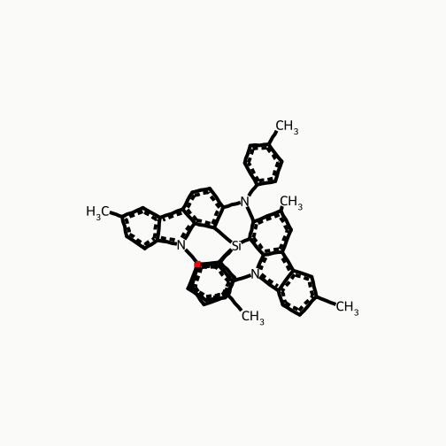 Cc1ccc(N2c3ccc4c5cc(C)ccc5n5c4c3[Si]3(c4ccccc4)c4c-5ccc(C)c4-n4c5ccc(C)cc5c5cc(C)c2c3c54)cc1